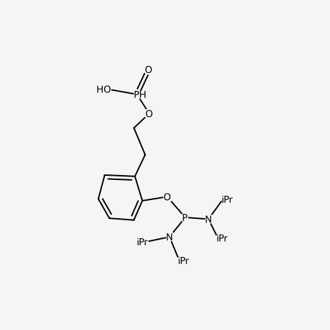 CC(C)N(C(C)C)P(Oc1ccccc1CCO[PH](=O)O)N(C(C)C)C(C)C